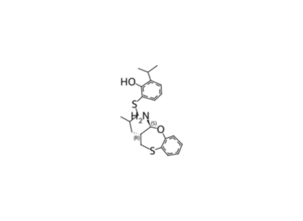 CC(CSc1cccc(C(C)C)c1O)C[C@H]1CSc2ccccc2O[C@@H]1N